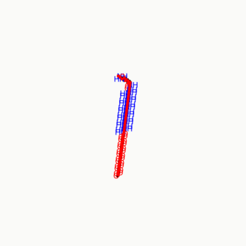 CNCC(=O)NC1CCC(CC2CCC(NC(=O)CC(=O)NCNNCNNCNNCNNCNNCNNCNNCNNCNNCNNCNNCNC(=O)CC(=O)C(=O)CC(=O)C(=O)CC(=O)C(=O)CC(=O)C(=O)CC(=O)C(=O)CC(=O)C(=O)CC(=O)C(=O)CC(=O)C(=O)CC(=O)C(=O)CC(=O)C(=O)CC(=O)C(=O)CC(C)=O)C(C)C2)CC1C